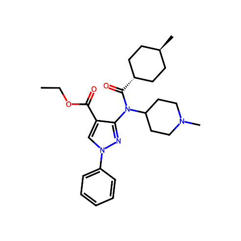 CCOC(=O)c1cn(-c2ccccc2)nc1N(C(=O)[C@H]1CC[C@H](C)CC1)C1CCN(C)CC1